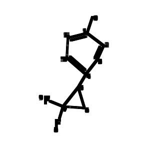 Cc1ccc(C2CC2(F)F)cc1